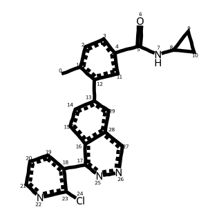 Cc1ccc(C(=O)NC2CC2)cc1-c1ccc2c(-c3cccnc3Cl)nncc2c1